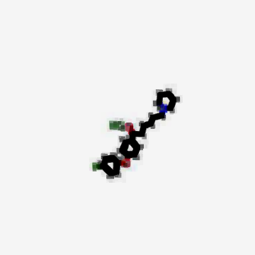 Cl.O=C(CCCCCN1CCCCC1)c1ccc(Oc2ccc(F)cc2)cc1